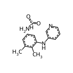 Cc1cccc(Nc2cccnc2)c1C.N[SH](=O)=O